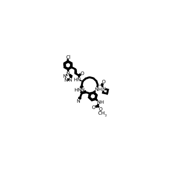 COC(=O)Nc1ccc2c(c1)N[C@@H](C(=O)N1CCC1)CCCC[C@H](NC(=O)/C=C/c1cc(Cl)ccc1-n1cnnn1)c1nc-2c(C#N)[nH]1